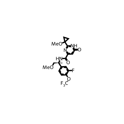 COC[C@@H](NC(=O)c1cc(=O)[nH]c(C2(OC)CC2)n1)c1ccc(OC(F)(F)F)c(F)c1